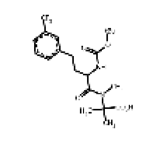 CN(C(=O)C(CCc1cccc(C(F)(F)F)c1)NC(=O)OC(C)(C)C)C(C)(C)C(=O)O